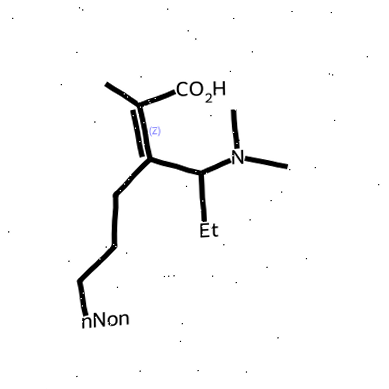 CCCCCCCCCCCC/C(=C(\C)C(=O)O)C(CC)N(C)C